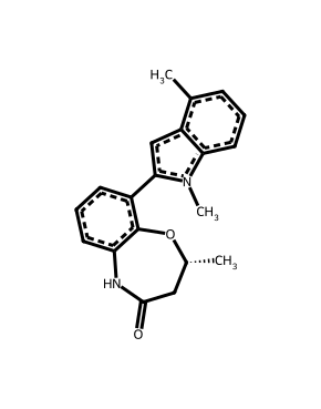 Cc1cccc2c1cc(-c1cccc3c1O[C@H](C)CC(=O)N3)n2C